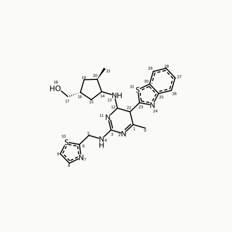 CC1=NC(NCc2nccs2)=NC(NC2C[C@H](CO)C[C@H]2C)C1c1nc2ccccc2s1